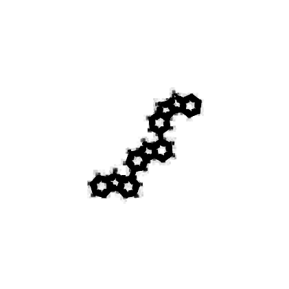 c1ccc2c(c1)oc1sc3ccc(-c4cccc5c4sc4ccc(-c6cccc7c6sc6ccccc67)cc45)cc3c12